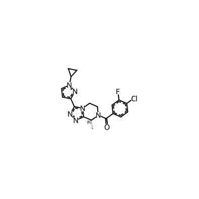 C[C@@H]1c2nnc(-c3ccn(C4CC4)n3)n2CCN1C(=O)c1ccc(Cl)c(F)c1